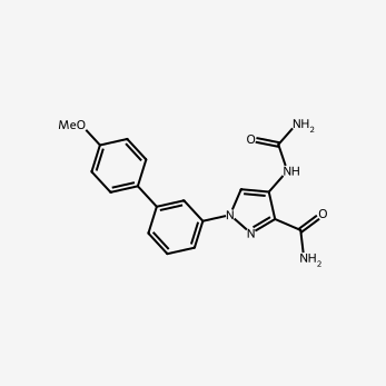 COc1ccc(-c2cccc(-n3cc(NC(N)=O)c(C(N)=O)n3)c2)cc1